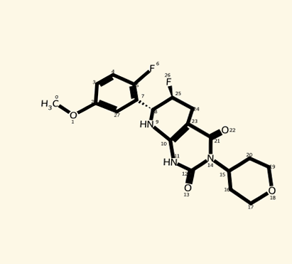 COc1ccc(F)c([C@H]2Nc3[nH]c(=O)n(C4CCOCC4)c(=O)c3C[C@@H]2F)c1